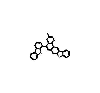 Cc1cnc2c(c1)c(-c1cccc3c1sc1ccccc13)cc1cc3sc4ccccc4c3cc12